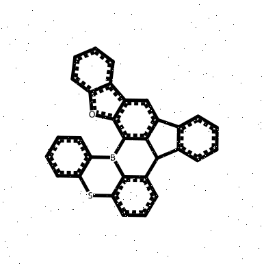 c1ccc2c(c1)Sc1cccc3c1B2c1c2c(cc4c1oc1ccccc14)-c1ccccc1C32